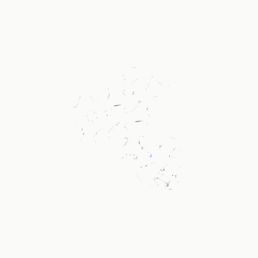 c1ccc(-c2ccc(C3(c4ccccc4)c4ccccc4-c4ccc(N(c5ccc6ccccc6c5)c5ccc6c7ccc8ccccc8c7n(-c7ccccc7-c7ccccc7)c6c5)cc43)cc2)cc1